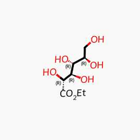 CCOC(=O)[C@H](O)[C@H](O)[C@H](O)[C@H](O)CO